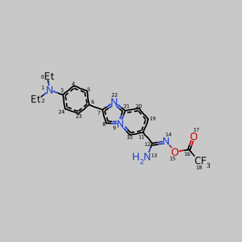 CCN(CC)c1ccc(-c2cn3cc(C(N)=NOC(=O)C(F)(F)F)ccc3n2)cc1